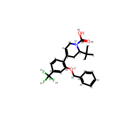 CC(C)(C)C1CC(c2ccc(C(F)(F)F)cc2OCc2ccccc2)=CCN1C(=O)O